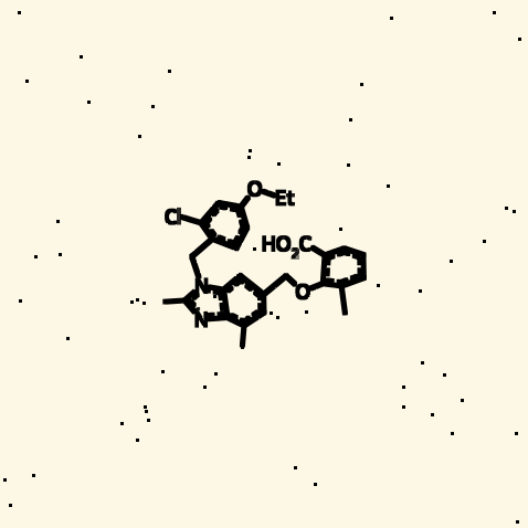 CCOc1ccc(Cn2c(C)nc3c(C)cc(COc4c(C)cccc4C(=O)O)cc32)c(Cl)c1